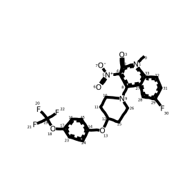 Cn1c(=O)c([N+](=O)[O-])c(N2CCC(Oc3ccc(OC(F)(F)F)cc3)CC2)c2cc(F)ccc21